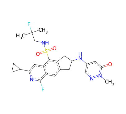 Cn1ncc(NC2Cc3cc4c(F)nc(C5CC5)cc4c(S(=O)(=O)NCC(C)(C)F)c3C2)cc1=O